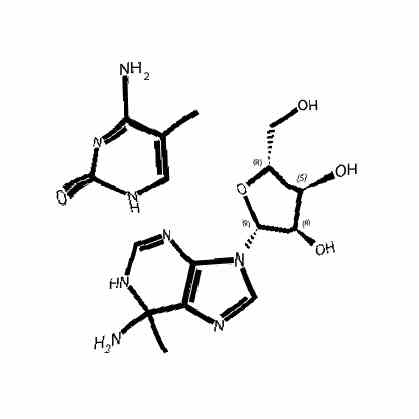 CC1(N)NC=Nc2c1ncn2[C@@H]1O[C@H](CO)[C@@H](O)[C@H]1O.Cc1c[nH]c(=O)nc1N